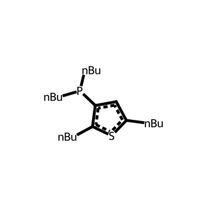 CCCCc1cc(P(CCCC)CCCC)c(CCCC)s1